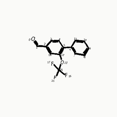 O=Cc1ccc(-c2ccccc2)c(OC(F)(F)F)c1